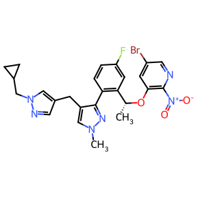 C[C@@H](Oc1cc(Br)cnc1[N+](=O)[O-])c1cc(F)ccc1-c1nn(C)cc1Cc1cnn(CC2CC2)c1